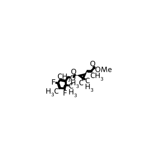 COC(=O)/C(C)=C/[C@@H]1[C@@H](C(=O)OCc2c(C)c(F)c(C)c(F)c2C)C1(C)C